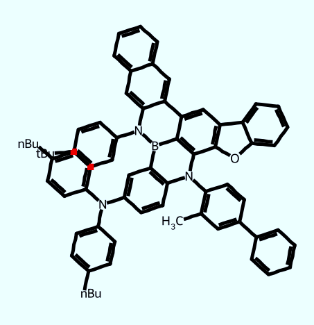 CCCCc1ccc(N(c2ccc(CCCC)cc2)c2ccc3c(c2)B2c4c(cc5c(oc6ccccc65)c4N3c3ccc(-c4ccccc4)cc3C)-c3cc4ccccc4cc3N2c2ccc(C(C)(C)C)cc2)cc1